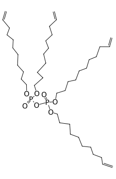 C=CCCCCCCCCCOP(=O)(OCCCCCCCCCC=C)OP(=O)(OCCCCCCCCCC=C)OCCCCCCCCCC=C